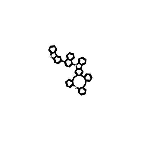 c1ccc2c(c1)Cc1ccccc1-c1cc3c4ccccc4n(-c4ccc(-c5ccc6oc7ccccc7c6c5)c5ccccc45)c3cc1Cc1ccccc1O2